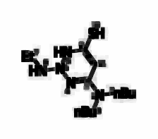 CCCCN(CCCC)C1=NN(NCC)NC(S)=C1